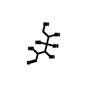 O=CC(O)C(O)C(O)(O)C(O)CO